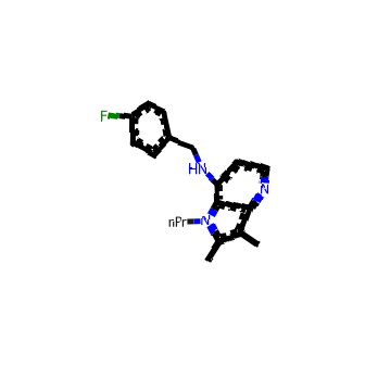 CCCn1c(C)c(C)c2nccc(NCc3ccc(F)cc3)c21